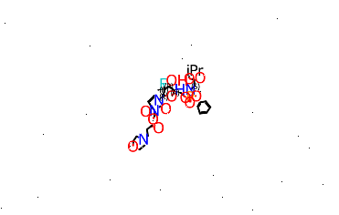 CC(C)OC(=O)[C@H](C)NP(=O)(OC[C@H]1O[C@@H](n2ccc(=O)n(COC(=O)CCN3CCOCC3)c2=O)[C@](C)(F)[C@@H]1O)Oc1ccccc1